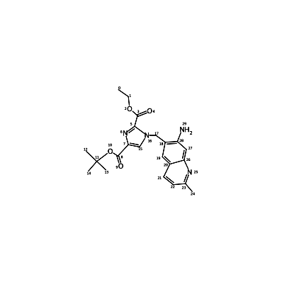 CCOC(=O)c1nc(C(=O)OC(C)(C)C)cn1Cc1cc2ccc(C)nc2cc1N